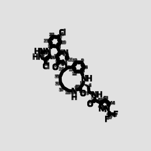 O=C(NCC[C@H]1Nc2cccc(c2)[C@@H](n2cnc(-c3cc(Cl)ccc3N3C=C(Cl)NN3)cc2=O)CCCCCNC1=O)c1ccn(C(F)F)n1